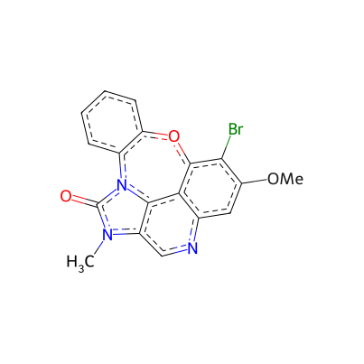 COc1cc2ncc3c4c2c(oc2ccccc2n4c(=O)n3C)c1Br